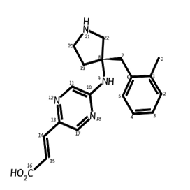 Cc1ccccc1C[C@@]1(Nc2cnc(/C=C/C(=O)O)cn2)CCNC1